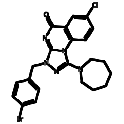 O=c1nc2n(Cc3ccc(Br)cc3)nc(N3CCCCCC3)n2c2ccc(Cl)cc12